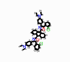 CCN(CC)c1ccc(-c2nc(-c3c4ccccc4c(-c4nc(-c5ccc(N(CC)CC)cc5)c(-c5ccccc5Cl)o4)c4ccccc34)oc2-c2ccccc2Cl)cc1